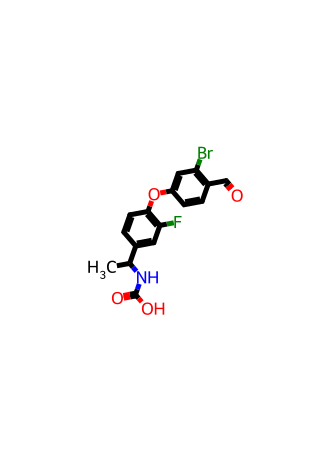 CC(NC(=O)O)c1ccc(Oc2ccc(C=O)c(Br)c2)c(F)c1